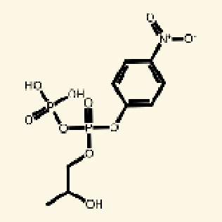 CC(O)COP(=O)(Oc1ccc([N+](=O)[O-])cc1)OP(=O)(O)O